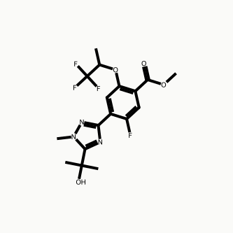 COC(=O)c1cc(F)c(-c2nc(C(C)(C)O)n(C)n2)cc1OC(C)C(F)(F)F